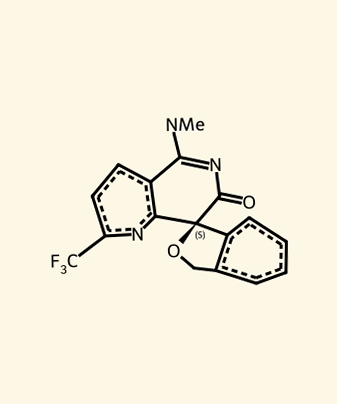 CNC1=NC(=O)[C@@]2(OCc3ccccc32)c2nc(C(F)(F)F)ccc21